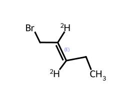 [2H]/C(CC)=C(/[2H])CBr